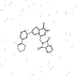 O=C1c2ccccc2C(=O)N1Cc1n[nH]c(=O)c2ccc(-c3cncc(C4=CCCCC4)c3)cc12